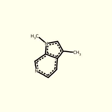 Cc1cn(C)c2cnccc12